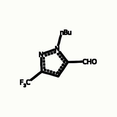 CCCCn1nc(C(F)(F)F)cc1C=O